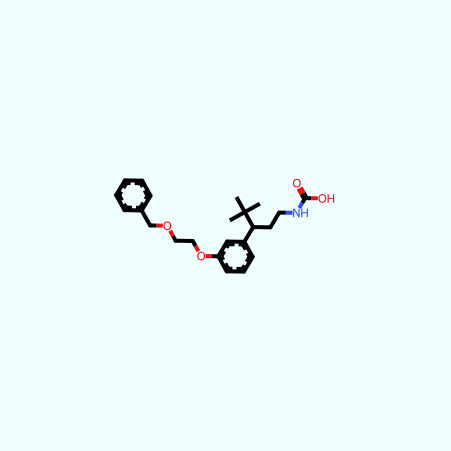 CC(C)(C)C(CCNC(=O)O)c1cccc(OCCOCc2ccccc2)c1